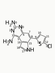 Nc1nc(N)c2c(cc(-c3ccc(Cl)s3)c3[nH]ccc32)n1